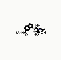 C=C(O)/C=C(/C(=N)NC1CCc2ccc(C(=O)NC)cc21)C(C)(C)O